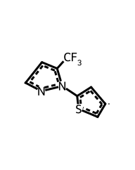 FC(F)(F)c1ccnn1-c1c[c]cs1